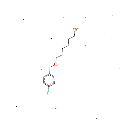 Fc1ccc(COCCCCCCBr)cc1